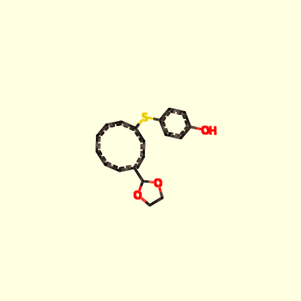 Oc1ccc(Sc2ccccccc(C3OCCO3)cc2)cc1